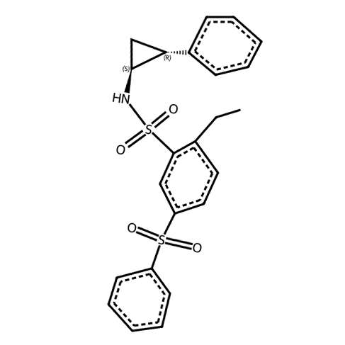 CCc1ccc(S(=O)(=O)c2ccccc2)cc1S(=O)(=O)N[C@H]1C[C@@H]1c1ccccc1